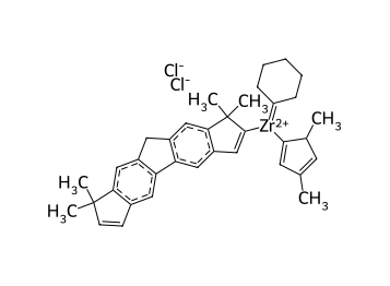 CC1=CC(C)[C]([Zr+2]([C]2=Cc3cc4c(cc3C2(C)C)Cc2cc3c(cc2-4)C=CC3(C)C)=[C]2CCCCC2)=C1.[Cl-].[Cl-]